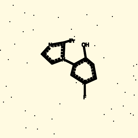 CC(C)c1nccn1-c1cc(F)ccc1O